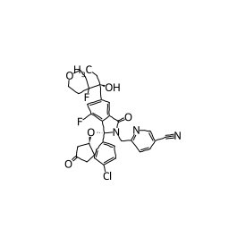 CC[C@](O)(c1cc(F)c2c(c1)C(=O)N(Cc1ccc(C#N)cn1)[C@@]2(O[C@H]1CCC(=O)C1)c1ccc(Cl)cc1)C1(F)CCOCC1